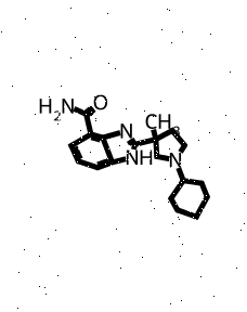 CC1(c2nc3c(C(N)=O)cccc3[nH]2)CCN(C2CCCCC2)C1